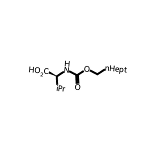 CCCCCCCCOC(=O)N[C@H](C(=O)O)C(C)C